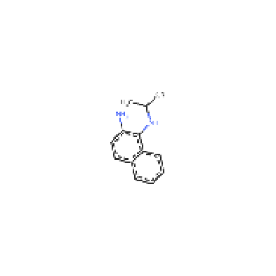 CC(C#N)Nc1c(N)ccc2ccccc12